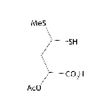 CSC(S)CC(OC(C)=O)C(=O)O